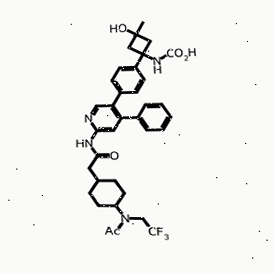 CC(=O)N(CC(F)(F)F)C1CCC(CC(=O)Nc2cc(-c3ccccc3)c(-c3ccc(C4(NC(=O)O)CC(C)(O)C4)cc3)cn2)CC1